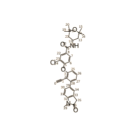 C#Cc1c(Oc2ccc(C(=O)NC3CC(C)(C)OC(C)(C)C3)cc2Cl)cccc1-c1ccc2c(c1)CC(=O)N2C